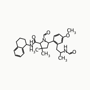 COc1ccc(C2CC(C)(C)C(C(=O)NC3CCCc4ccccc43)N2C=O)c(CC(C)NC=O)c1